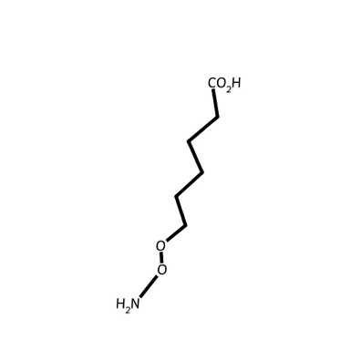 NOOCCCCCC(=O)O